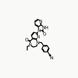 CCN1CCN(Cc2ccc(C#N)cc2)c2nc(-n3c(=O)[nH]c4ncccc43)ccc2C1=O